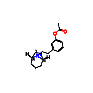 CC(=O)Oc1cccc(CC[N+]2(C)[C@@H]3C[CH]C[C@H]2CC3)c1